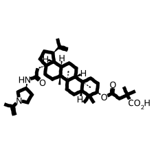 C=C(C)[C@@H]1CC[C@]2(CC(=O)N[C@@H]3CCN(C(=C)C)C3)CC[C@]3(C)[C@H](CC[C@@H]4[C@@]5(C)CC[C@H](OC(=O)CC(C)(C)C(=O)O)C(C)(C)[C@@H]5CC[C@]43C)[C@@H]12